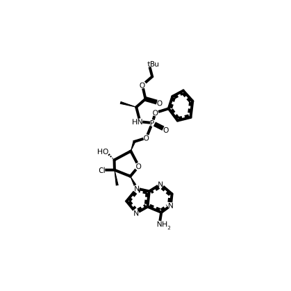 C[C@H](NP(=O)(OC[C@H]1O[C@@H](n2cnc3c(N)ncnc32)[C@](C)(Cl)[C@@H]1O)Oc1ccccc1)C(=O)OCC(C)(C)C